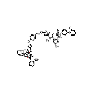 CC(C)[C@@H](C(=O)N1C[C@H](O)C[C@H]1C(=O)N[C@@H](C)c1ccc(-n2ccccc2=O)cc1)c1cc(OCCN2CCC(O[C@H]3C[C@H](Oc4cc(N5C6CCC5CN(c5cc(-c7ccccc7O)nnc5N)C6)ccn4)C3)CC2)no1